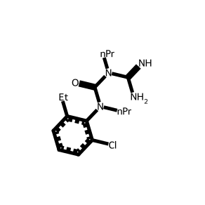 CCCN(C(=N)N)C(=O)N(CCC)c1c(Cl)cccc1CC